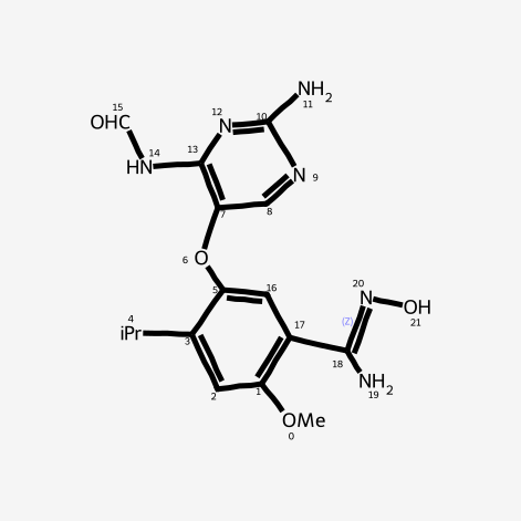 COc1cc(C(C)C)c(Oc2cnc(N)nc2NC=O)cc1/C(N)=N/O